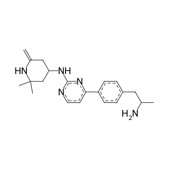 C=C1CC(Nc2nccc(-c3ccc(CC(C)N)cc3)n2)CC(C)(C)N1